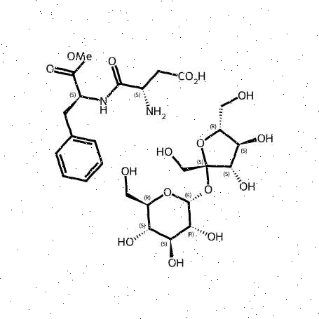 COC(=O)[C@H](Cc1ccccc1)NC(=O)[C@@H](N)CC(=O)O.OC[C@H]1O[C@@](CO)(O[C@H]2O[C@H](CO)[C@@H](O)[C@H](O)[C@H]2O)[C@@H](O)[C@@H]1O